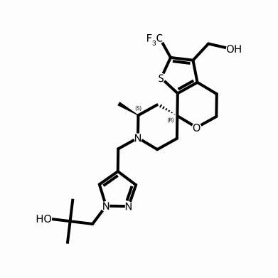 C[C@H]1C[C@@]2(CCN1Cc1cnn(CC(C)(C)O)c1)OCCc1c2sc(C(F)(F)F)c1CO